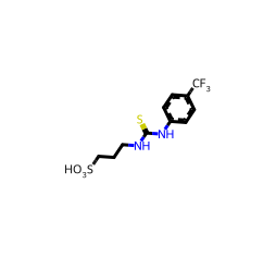 O=S(=O)(O)CCCNC(=S)Nc1ccc(C(F)(F)F)cc1